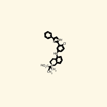 CC(C)(C(=O)O)N1CCc2c(cccc2Nc2ccc(Cl)c(-c3nc(-c4ccccc4)c[nH]3)c2)C1